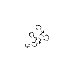 Cc1ccc2nc3c4ccccc4c(Nc4ccccc4)cc3[n+](-c3ccccc3)c2c1